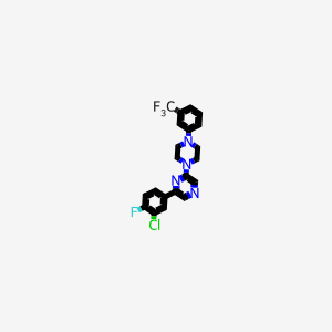 Fc1ccc(-c2cncc(N3CCN(c4cccc(C(F)(F)F)c4)CC3)n2)cc1Cl